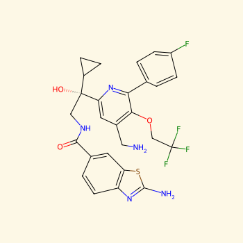 NCc1cc([C@@](O)(CNC(=O)c2ccc3nc(N)sc3c2)C2CC2)nc(-c2ccc(F)cc2)c1OCC(F)(F)F